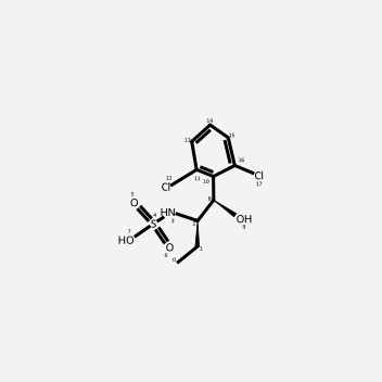 CC[C@@H](NS(=O)(=O)O)[C@H](O)c1c(Cl)cccc1Cl